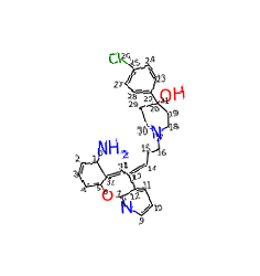 NC1C=CC=C2Oc3ncccc3C(=CCCN3CCC(O)(c4ccc(Cl)cc4)CC3)C=C21